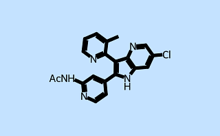 CC(=O)Nc1cc(-c2[nH]c3cc(Cl)cnc3c2-c2ncccc2C)ccn1